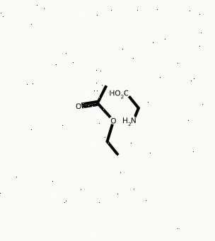 CCOC(C)=O.NCC(=O)O